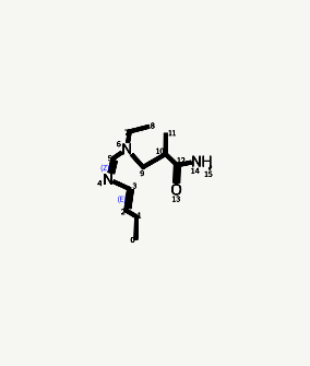 CC/C=C/N=C\N(CC)CC(C)C(=O)NC